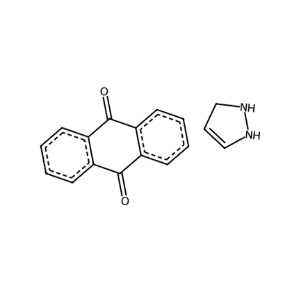 C1=CNNC1.O=C1c2ccccc2C(=O)c2ccccc21